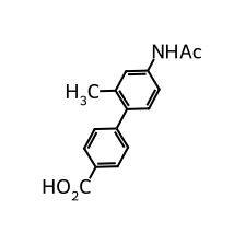 CC(=O)Nc1ccc(-c2ccc(C(=O)O)cc2)c(C)c1